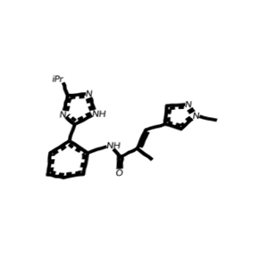 CC(=Cc1cnn(C)c1)C(=O)Nc1ccccc1-c1nc(C(C)C)n[nH]1